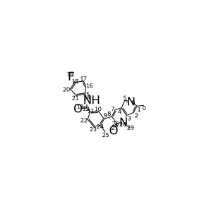 Cc1cc2c(cn1)cc(-c1cc(C(=O)Nc3ccc(F)cc3)ccc1C)c(=O)n2C